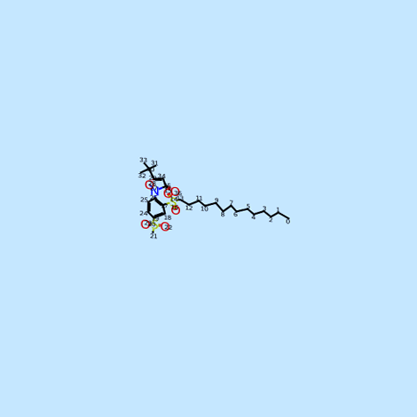 CCCCCCCCCCCCCCS(=O)(=O)c1cc(S(C)(=O)=O)ccc1-n1oc(C(C)(C)C)cc1=O